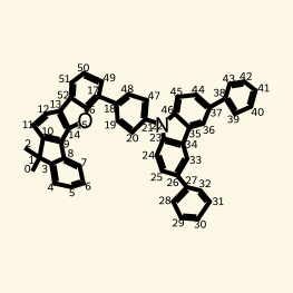 CC1(C)c2ccccc2-c2c1ccc1c2oc2c(-c3ccc(-n4c5ccc(-c6ccccc6)cc5c5cc(-c6ccccc6)ccc54)cc3)cccc21